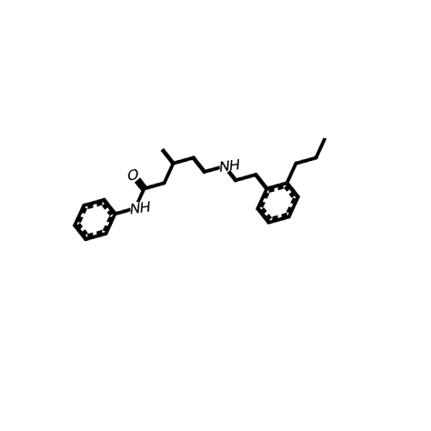 CCCc1ccccc1CCNCCC(C)CC(=O)Nc1ccccc1